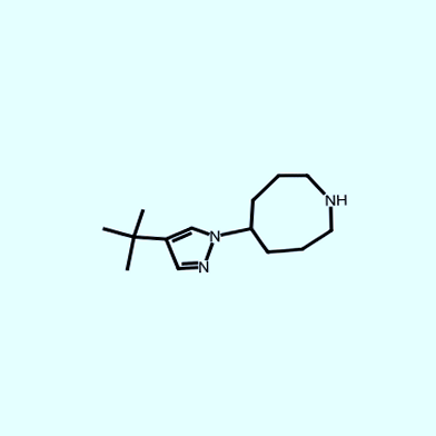 CC(C)(C)c1cnn(C2CCCNCCC2)c1